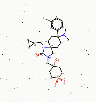 CN(C)[C@]1(c2cccc(F)c2)CC[C@@]2(CC1)CN(CC1(O)CCS(=O)(=O)CC1)C(=O)N2CC1CC1